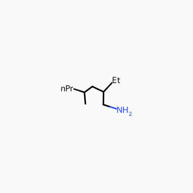 CCCC(C)CC(CC)CN